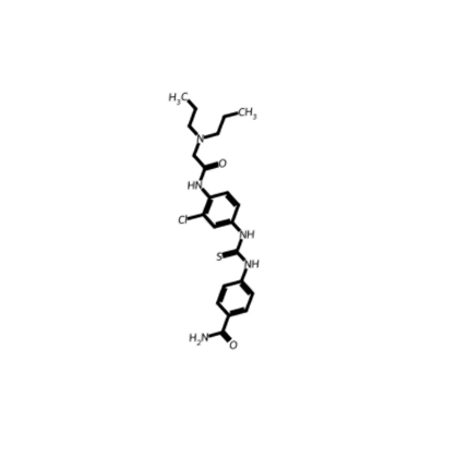 CCCN(CCC)CC(=O)Nc1ccc(NC(=S)Nc2ccc(C(N)=O)cc2)cc1Cl